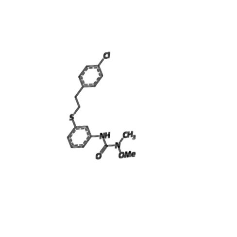 CON(C)C(=O)Nc1cccc(SCCc2ccc(Cl)cc2)c1